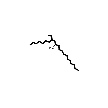 CCCCCCCCCCC[C@@H](O)CC(CC)CCCCCCC